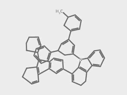 CC1C=CC=C(C2=CC(c3ccccc3)CC(n3c4c(c5ccccc53)CCC=C4c3ccc4c(c3)c3c(n4C4C=CCCC4)CCC=C3)=C2)C1